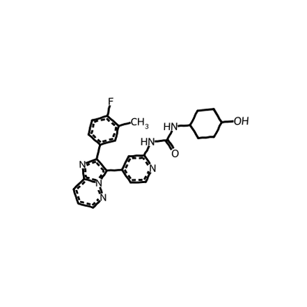 Cc1cc(-c2nc3cccnn3c2-c2ccnc(NC(=O)NC3CCC(O)CC3)c2)ccc1F